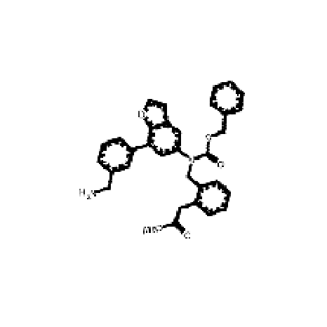 COC(=O)Cc1ccccc1CN(C(=O)OCc1ccccc1)c1cc(-c2cccc(CN)c2)c2occc2c1